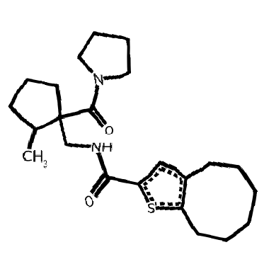 CC1CCCC1(CNC(=O)c1cc2c(s1)CCCCCC2)C(=O)N1CCCC1